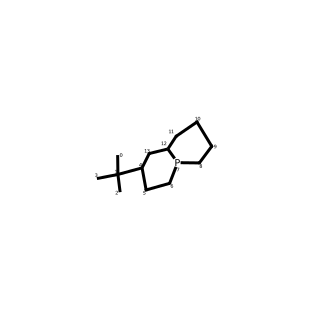 CC(C)(C)C1CCP2CCCCC2C1